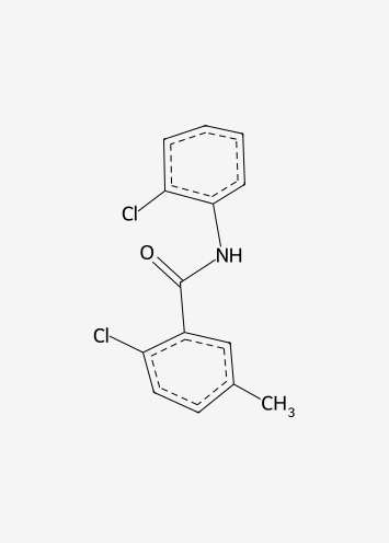 Cc1ccc(Cl)c(C(=O)Nc2ccccc2Cl)c1